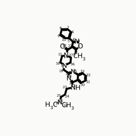 Cc1onc(-c2ccccc2)c1C(=O)N1CCN(Cc2nc(NCCCN(C)C)c3ccccc3n2)CC1